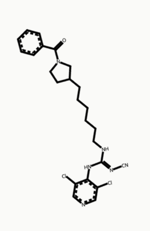 N#CN=C(NCCCCCCC1CCN(C(=O)c2ccccc2)C1)Nc1c(Cl)cncc1Cl